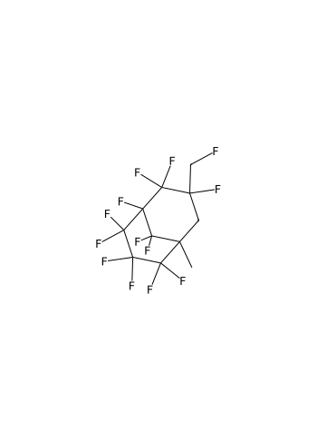 CC12CC(F)(CF)C(F)(F)C(F)(C(F)(F)C(F)(F)C1(F)F)C2(F)F